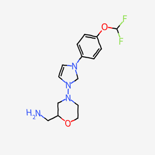 NCC1CN(N2C=CN(c3ccc(OC(F)F)cc3)C2)CCO1